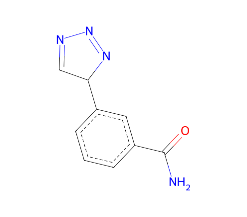 NC(=O)c1cccc(C2C=NN=N2)c1